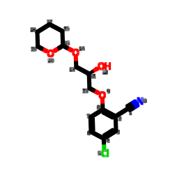 N#Cc1cc(Cl)ccc1OC[C@H](O)COC1CCCCO1